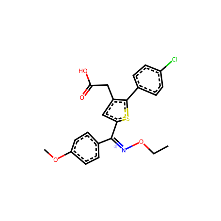 CCO/N=C(/c1ccc(OC)cc1)c1cc(CC(=O)O)c(-c2ccc(Cl)cc2)s1